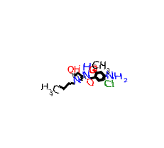 CCCCCN1C[C@@H](NC(=O)c2cc(Cl)c(N)cc2OC)C[C@H]1CO